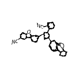 N#Cc1ccc2oc3cc(-c4cc(-c5ccc6c(c5)oc5ccccc56)cc(-c5ccccc5C#N)c4)ccc3c2c1